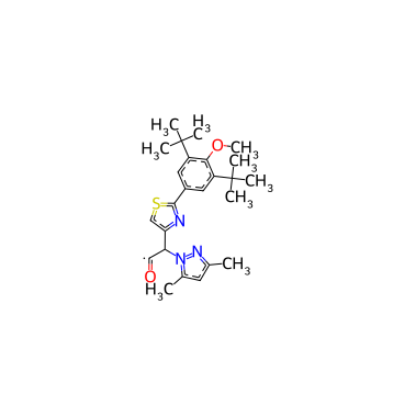 COc1c(C(C)(C)C)cc(-c2nc(C([C]=O)n3nc(C)cc3C)cs2)cc1C(C)(C)C